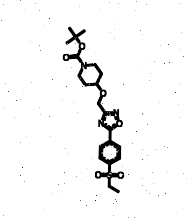 CCS(=O)(=O)c1ccc(-c2nc(COC3CCN(C(=O)OC(C)(C)C)CC3)no2)cc1